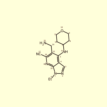 CCn1ncc2c(NC3CCOCC3)c(CN)c(C#N)nc21